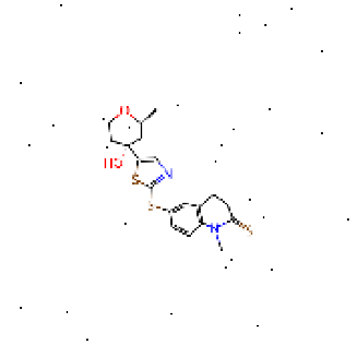 C[C@H]1C[C@@](O)(c2cnc(Sc3ccc4c(c3)CCC(=S)N4C)s2)CCO1